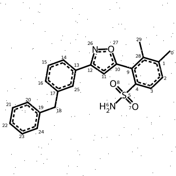 Cc1ccc(S(N)(=O)=O)c(-c2cc(-c3cccc(Cc4ccccc4)c3)no2)c1C